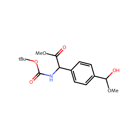 COC(=O)C(NC(=O)OC(C)(C)C)c1ccc(C(O)OC)cc1